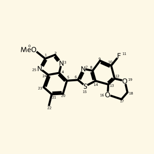 COc1cnc2c(-c3nc4cc(F)c5c(c4s3)OCCO5)cc(C)cc2n1